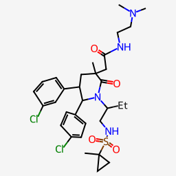 CCC(CNS(=O)(=O)C1(C)CC1)N1C(=O)C(C)(CC(=O)NCCN(C)C)CC(c2cccc(Cl)c2)C1c1ccc(Cl)cc1